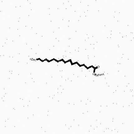 CCCCCCCCCCCCCCCCCCCCCCCCCC(=O)OCCCCC